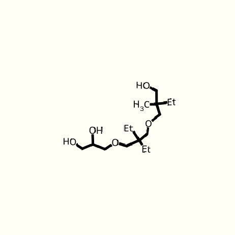 CCC(C)(CO)COCC(CC)(CC)COCC(O)CO